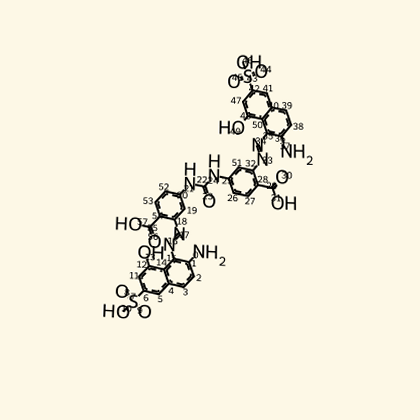 Nc1ccc2cc(S(=O)(=O)O)cc(O)c2c1N=Nc1cc(NC(=O)Nc2ccc(C(=O)O)c(N=Nc3c(N)ccc4cc(S(=O)(=O)O)cc(O)c34)c2)ccc1C(=O)O